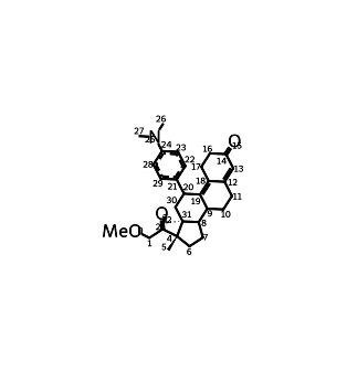 COCC(=O)[C@@]1(C)CCC2C3CCC4=CC(=O)CCC4=C3C(c3ccc(N(C)C)cc3)C[C@@]21C